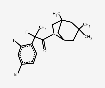 CC1(C)CC2CC(C)(CN2C(=O)C(C)(F)c2ccc(Br)cc2F)C1